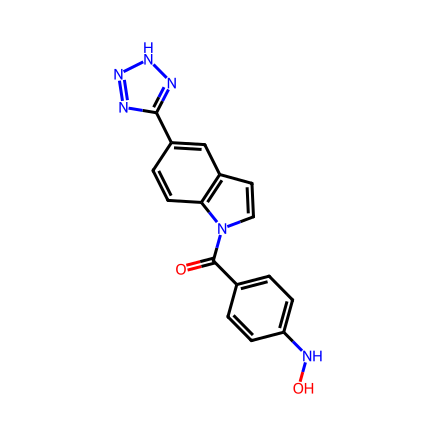 O=C(c1ccc(NO)cc1)n1ccc2cc(-c3nn[nH]n3)ccc21